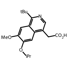 COc1cc2c(C(C)(C)C)ncc(CC(=O)O)c2cc1OC(C)C